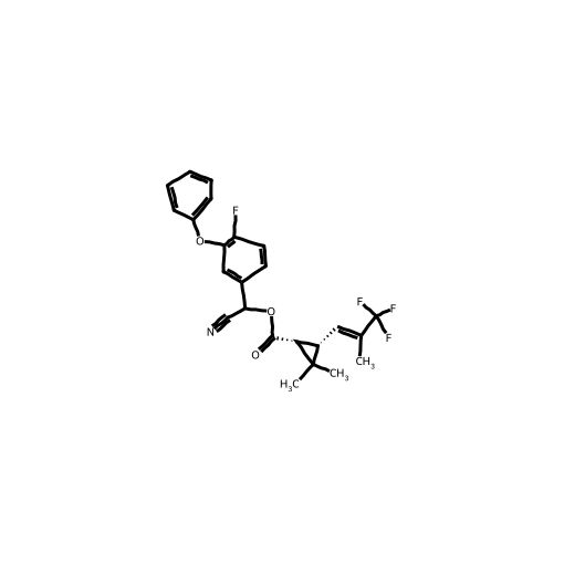 C/C(=C\[C@H]1[C@@H](C(=O)OC(C#N)c2ccc(F)c(Oc3ccccc3)c2)C1(C)C)C(F)(F)F